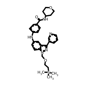 C[Si](C)(C)CCOCn1nc(-c2cccnc2)c2cc(Nc3ccc(C(=O)NC4CCOCC4)cc3)ccc21